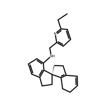 CCc1cccc(CNc2cccc3c2[C@]2(CCC4=C2CCC=C4)CC3)n1